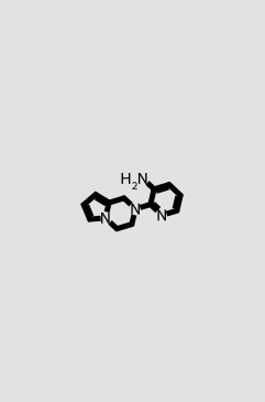 Nc1cccnc1N1CCn2cccc2C1